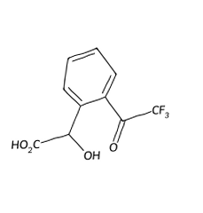 O=C(O)C(O)c1ccccc1C(=O)C(F)(F)F